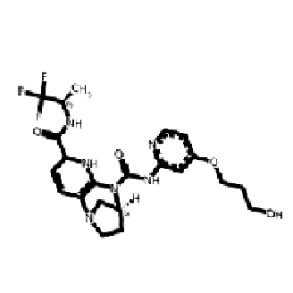 C[C@@H](NC(=O)C1C=CC2=C(N1)N(C(=O)Nc1cc(OCCCO)ccn1)[C@H]1CCN2C1)C(F)(F)F